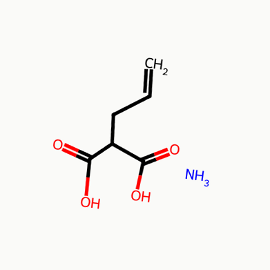 C=CCC(C(=O)O)C(=O)O.N